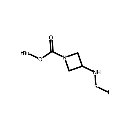 CC(C)(C)OC(=O)N1CC(NSI)C1